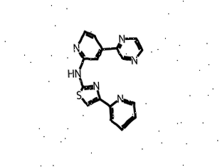 c1ccc(-c2csc(Nc3cc(-c4cnccn4)ccn3)n2)nc1